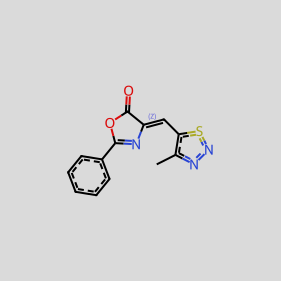 Cc1nnsc1/C=C1\N=C(c2ccccc2)OC1=O